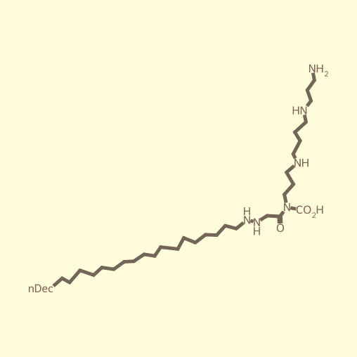 CCCCCCCCCCCCCCCCCCCCCCCCCCCCNNCC(=O)N(CCCNCCCCNCCCN)C(=O)O